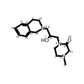 CN1CCN(CC(O)CN2CCc3ccccc3C2)C(=O)C1